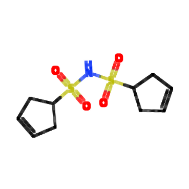 O=S(=O)(NS(=O)(=O)C1CC=CC1)C1CC=CC1